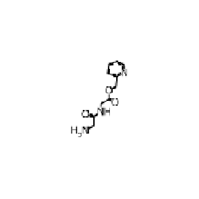 NCC(=O)NCC(=O)OCc1ccccn1